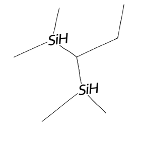 CCC([SiH](C)C)[SiH](C)C